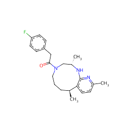 Cc1ccc2c(n1)N[C@@H](C)CN(C(=O)Cc1ccc(F)cc1)CCC[C@@H]2C